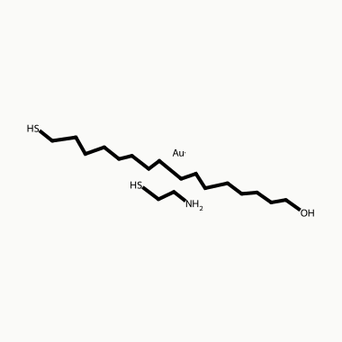 NCCS.OCCCCCCCCCCCCCCCCS.[Au]